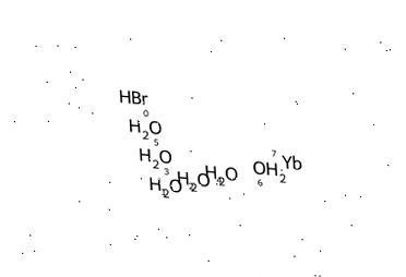 Br.O.O.O.O.O.O.[Yb]